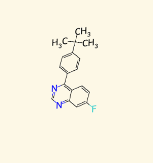 CC(C)(C)c1ccc(-c2ncnc3cc(F)ccc23)cc1